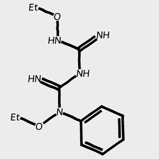 CCONC(=N)NC(=N)N(OCC)c1ccccc1